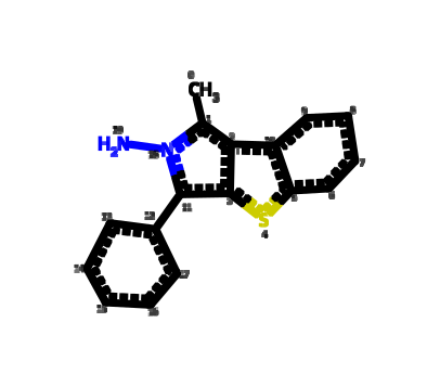 Cc1c2c(sc3ccccc32)c(-c2ccccc2)n1N